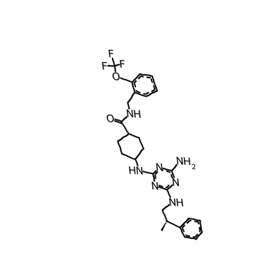 C[C@@H](CNc1nc(N)nc(NC2CCC(C(=O)NCc3ccccc3OC(F)(F)F)CC2)n1)c1ccccc1